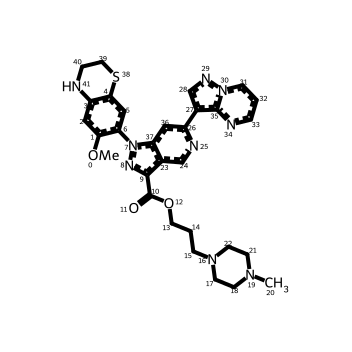 COc1cc2c(cc1-n1nc(C(=O)OCCCN3CCN(C)CC3)c3cnc(-c4cnn5cccnc45)cc31)SCCN2